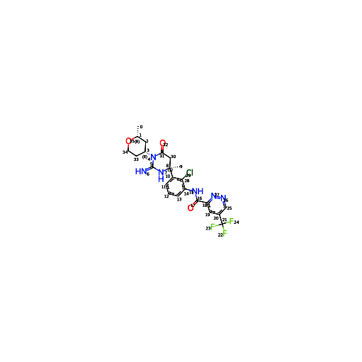 C[C@@H]1C[C@H](N2C(=N)N[C@](C)(c3cccc(NC(=O)c4cc(C(F)(F)F)cnn4)c3Cl)CC2=O)CCO1